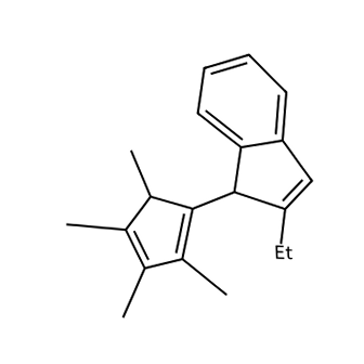 CCC1=Cc2ccccc2C1C1=C(C)C(C)=C(C)C1C